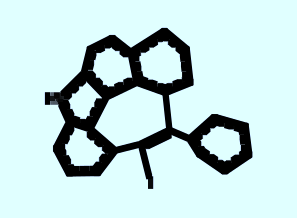 IC1=C(c2ccccc2)c2cccc3ccc4[nH]c5cccc1c5c4c23